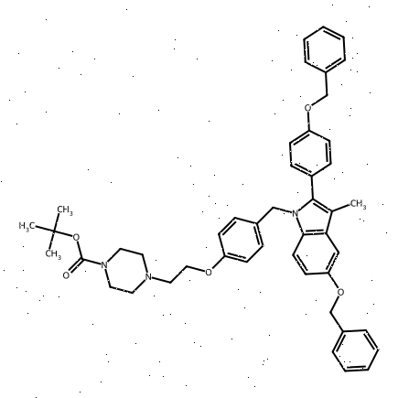 Cc1c(-c2ccc(OCc3ccccc3)cc2)n(Cc2ccc(OCCN3CCN(C(=O)OC(C)(C)C)CC3)cc2)c2ccc(OCc3ccccc3)cc12